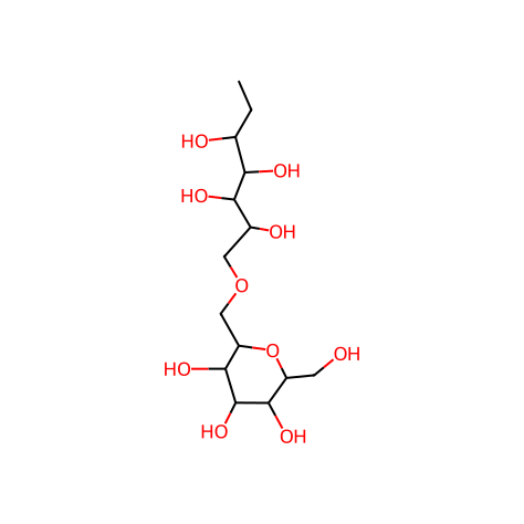 CCC(O)C(O)C(O)C(O)COCC1OC(CO)C(O)C(O)C1O